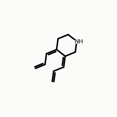 C=C/C=C1/CCNC/C1=C/C=C